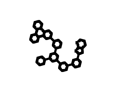 c1ccc(-c2cc(-c3cccc(-c4cccc(-c5cc6cccnc6s5)c4)c3)cc(-c3cccc(-c4ccc5c6ccccc6c6ccccc6c5c4)c3)c2)cc1